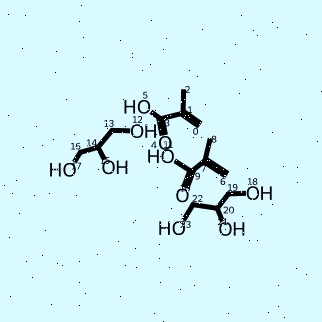 C=C(C)C(=O)O.C=C(C)C(=O)O.OCC(O)CO.OCC(O)CO